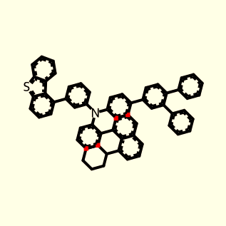 c1ccc(-c2ccc(-c3ccc(N(c4cccc(-c5cccc6sc7ccccc7c56)c4)c4ccccc4-c4cccc5cccc(C6CCCCC6)c45)cc3)cc2-c2ccccc2)cc1